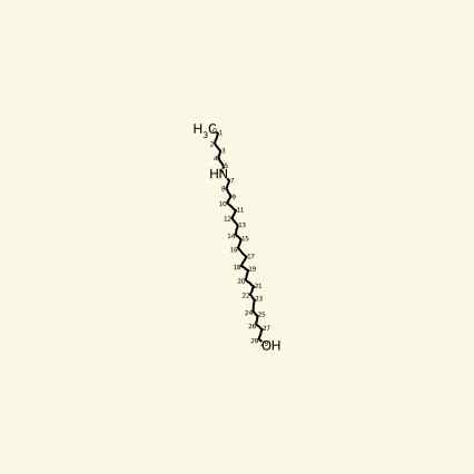 CCCCCCNCCCCCCCCCCCCCCCCCCCCCCO